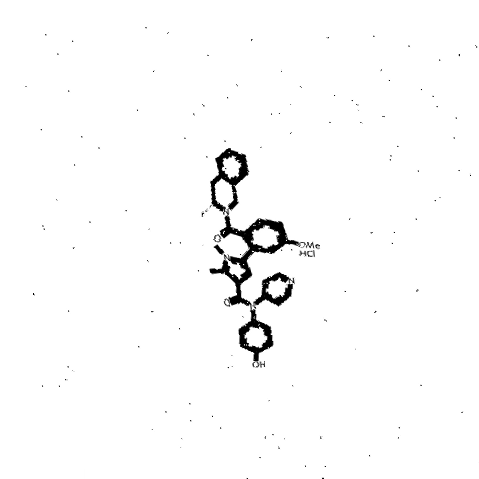 COc1ccc(C(=O)N2Cc3ccccc3C[C@H]2C)c(-c2cc(C(=O)N(c3ccncc3)c3ccc(O)cc3)c(C)n2C)c1.Cl